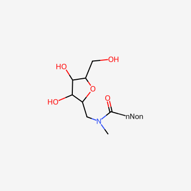 CCCCCCCCCC(=O)N(C)CC1OC(CO)C(O)C1O